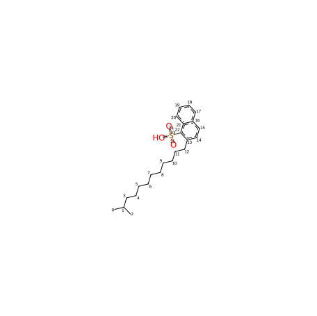 CC(C)CCCCCCCCCCc1ccc2ccccc2c1S(=O)(=O)O